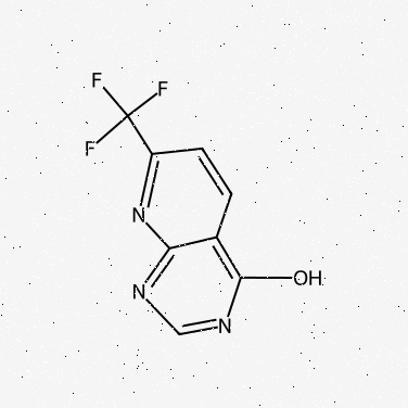 Oc1ncnc2nc(C(F)(F)F)ccc12